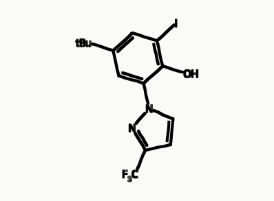 CC(C)(C)c1cc(I)c(O)c(-n2ccc(C(F)(F)F)n2)c1